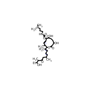 CCC(O)C(C)C1OC1CC(C)/C=C/C=C(\C)C1OC(=O)CC(O)CCC(C)(O)C(OC(=O)NCCCN(C)C)/C=C/C1C